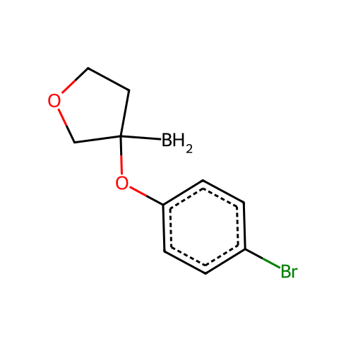 BC1(Oc2ccc(Br)cc2)CCOC1